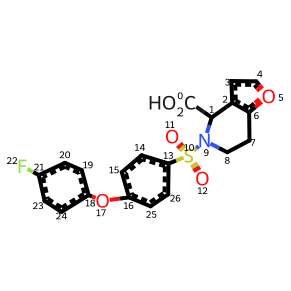 O=C(O)C1c2ccoc2CCN1S(=O)(=O)c1ccc(Oc2ccc(F)cc2)cc1